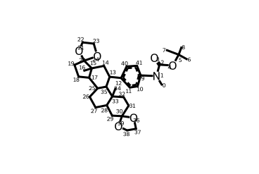 CN(C(=O)OC(C)(C)C)c1ccc(C2CC3(C)C(CCC34OCCO4)C3CCC4CC5(CCC4(C)C23)OCCO5)cc1